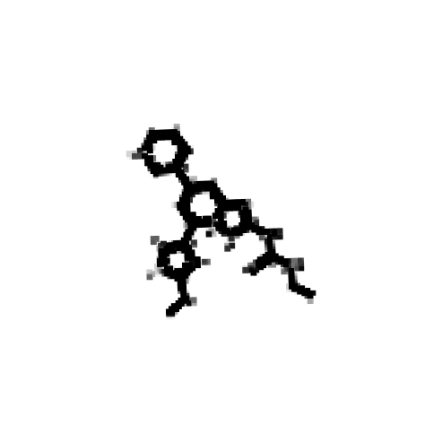 CCNC(=O)Nc1nc2cc(-c3cccnc3)cc(-c3nc(CC)no3)n2n1